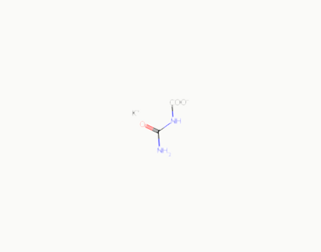 NC(=O)NC(=O)[O-].[K+]